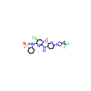 COc1nc(N2CC3(C2)CC3(F)F)ccc1Nc1ncc(Cl)c(Nc2ccccc2P(C)(C)=O)n1